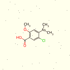 COc1cc([As](C)C)c(Cl)cc1C(=O)O